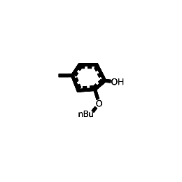 CCCCOc1cc(C)ccc1O